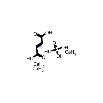 O=C(O)/C=C/C(=O)O.O=P(O)(O)O.[CaH2].[CaH2].[CaH2]